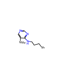 CNc1cncnc1NCCCC(C)C